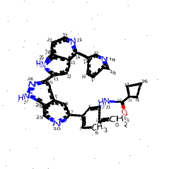 C=C/C(=C\C(=C/C)c1cc2c(-c3cc4c(-c5cccnc5)nccc4[nH]3)n[nH]c2cn1)NC(=O)C1CCC1